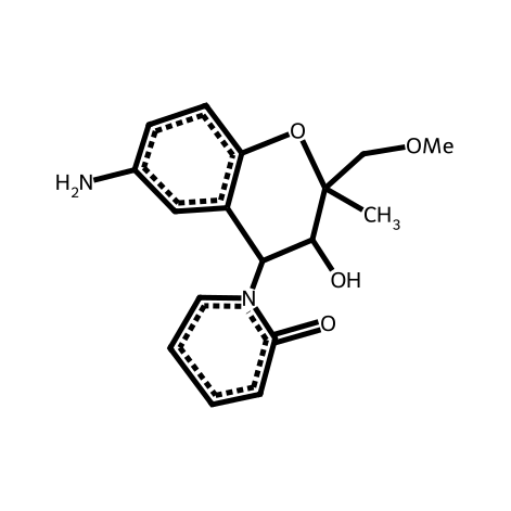 COCC1(C)Oc2ccc(N)cc2C(n2ccccc2=O)C1O